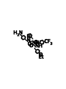 CCOc1ccc(C[C@@H](NC(=O)c2ccc(C(F)(F)F)cc2)C(=O)N[C@@H](Cc2ccccc2)C(=O)NCc2ccc(CN)cc2)cc1